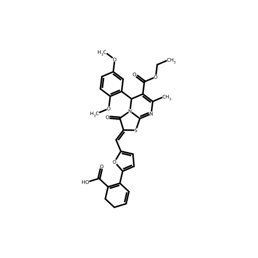 CCOC(=O)C1=C(C)N=c2s/c(=C\c3ccc(C4=C(C(=O)O)CCC=C4)o3)c(=O)n2C1c1cc(OC)ccc1OC